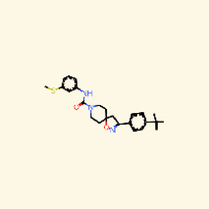 CSc1cccc(NC(=O)N2CCC3(CC2)CC(c2ccc(C(C)(C)C)cc2)=NO3)c1